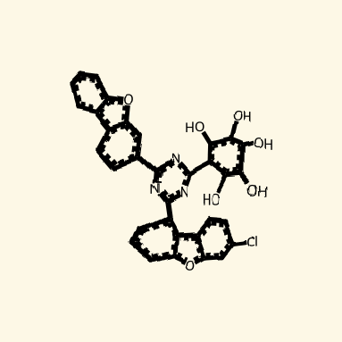 Oc1c(O)c(O)c(-c2nc(-c3ccc4c(c3)oc3ccccc34)nc(-c3cccc4oc5cc(Cl)ccc5c34)n2)c(O)c1O